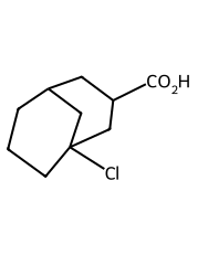 O=C(O)C1CC2CCCC(Cl)(C2)C1